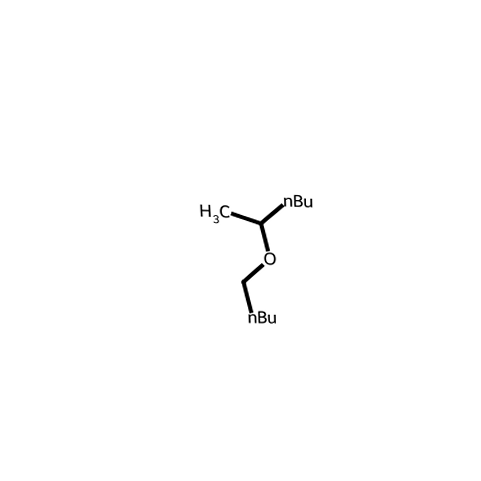 [CH2]CCCC(C)OCCCCC